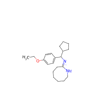 CCOc1ccc(C(/N=C2\CCCCCCN2)C2CCCC2)cc1